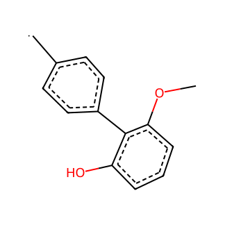 [CH2]c1ccc(-c2c(O)cccc2OC)cc1